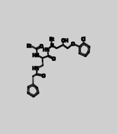 CCC(=O)NC(CNC(=O)Cc1ccccc1)C(=O)NN(CC)CC(O)COc1ccccc1Cl